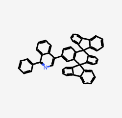 c1ccc(-c2ncc(-c3ccc4c(c3)C3(c5ccccc5-c5ccccc53)c3ccccc3C43c4ccccc4-c4ccccc43)c3ccccc23)cc1